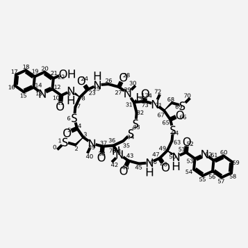 CSC[C@H]1C(=O)SC[C@@H](NC(=O)c2nc3ccccc3cc2O)C(=O)NCC(=O)N(C)[C@H]2CSSC[C@@H](C(=O)N1C)N(C)C(=O)CNC(=O)[C@H](NC(=O)c1ccc3ccccc3n1)CSC(=O)[C@H](CSC)N(C)C2=O